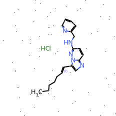 CCCCC/C=C/c1cnc2ccc(NCc3ccccn3)nn12.Cl